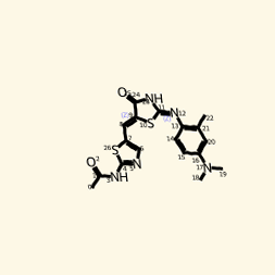 CC(=O)Nc1ncc(/C=C2\S/C(=N\c3ccc(N(C)C)cc3C)NC2=O)s1